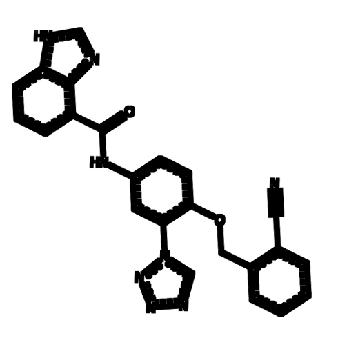 N#Cc1ccccc1COc1ccc(NC(=O)c2cccc3[nH]cnc23)cc1-n1cnnn1